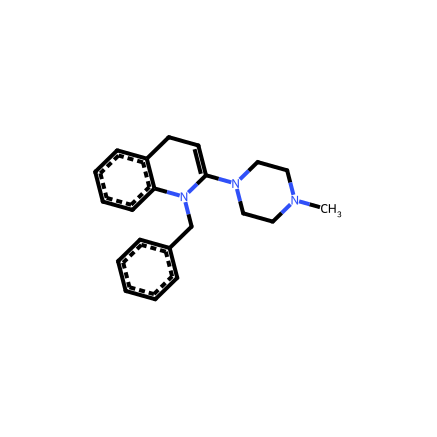 CN1CCN(C2=CCc3ccccc3N2Cc2ccccc2)CC1